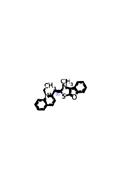 CC[n+]1c(/C=C2\Sc3oc4ccccc4c3N2C)ccc2ccccc21